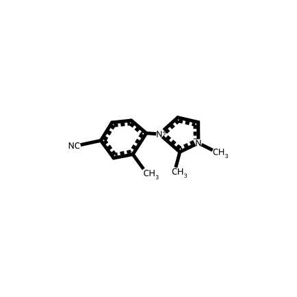 Cc1cc(C#N)ccc1-[n+]1ccn(C)c1C